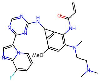 C=CC(=O)Nc1c(N(C)CCN(C)C)cc(OC)c2c1C2Nc1ncnc(-c2cnc3c(F)cccn23)n1